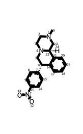 CN1CCN2C[C@@H](c3ccc([N+](=O)[O-])cc3)c3ccccc3[C@@H]2C1